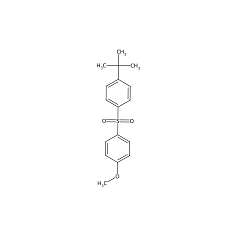 COc1ccc(S(=O)(=O)c2ccc(C(C)(C)C)cc2)cc1